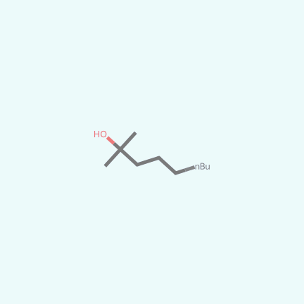 C[CH]CCCCCC(C)(C)O